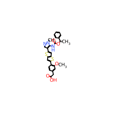 COc1cc(CC(=O)O)ccc1-c1cc2sc(-c3cnn(C)c3NC(=O)O[C@H](C)c3ccccc3)cc2s1